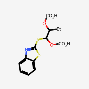 CCC(OC(=O)O)C(OC(=O)O)Sc1nc2ccccc2s1